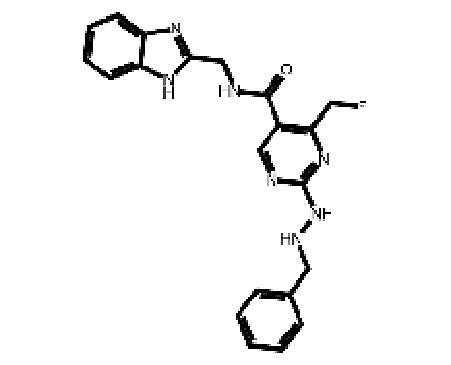 O=C(NCc1nc2ccccc2[nH]1)c1cnc(NNCc2ccccc2)nc1CF